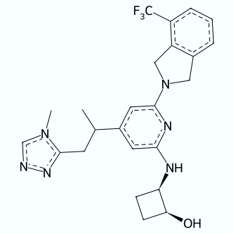 CC(Cc1nncn1C)c1cc(N[C@@H]2CC[C@@H]2O)nc(N2Cc3cccc(C(F)(F)F)c3C2)c1